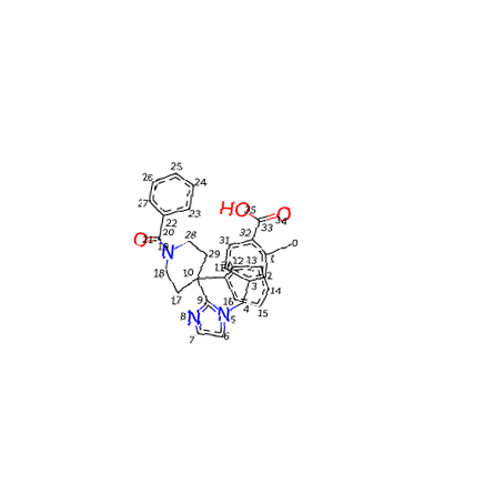 Cc1cc(Cn2ccnc2C2(c3ccccc3)CCN(C(=O)c3ccccc3)CC2)ccc1C(=O)O